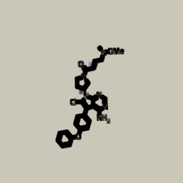 CON(C)C/C=C/C(=O)N1CC[C@@H](n2c(Cl)c(-c3ccc(Oc4ccccc4)cc3)c3c(N)ncnc32)C1